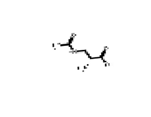 CC(=O)NC[C@@H](N)C(=O)O